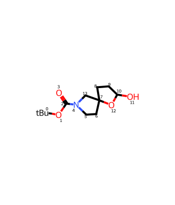 CC(C)(C)OC(=O)N1CCC2(CCC(O)O2)C1